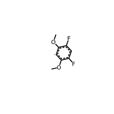 COc1[c]c(OC)c(F)cc1F